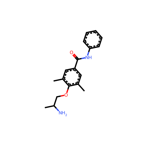 Cc1cc(C(=O)Nc2ccccc2)cc(C)c1OCC(C)N